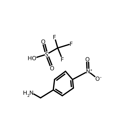 NCc1ccc([N+](=O)[O-])cc1.O=S(=O)(O)C(F)(F)F